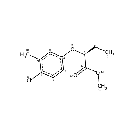 CC[C@H](Oc1ccc(Cl)c(C)c1)C(=O)OC